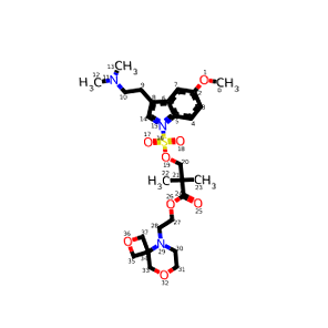 COc1ccc2c(c1)c(CCN(C)C)cn2S(=O)(=O)OCC(C)(C)C(=O)OCCN1CCOCC12COC2